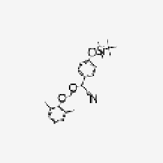 Cc1cccc(C)c1OCOC(C#N)c1ccc(O[Si](C)(C)C(C)(C)C)cc1